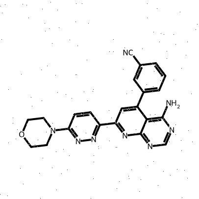 N#Cc1cccc(-c2cc(-c3ccc(N4CCOCC4)nn3)nc3ncnc(N)c23)c1